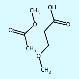 COC(C)=O.COCCC(=O)O